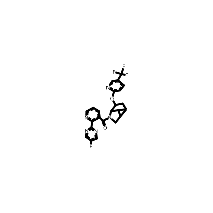 O=C(c1cccnc1-c1ncc(F)cn1)N1CC2C3CC(Oc4ccc(C(F)(F)F)cn4)C1C32